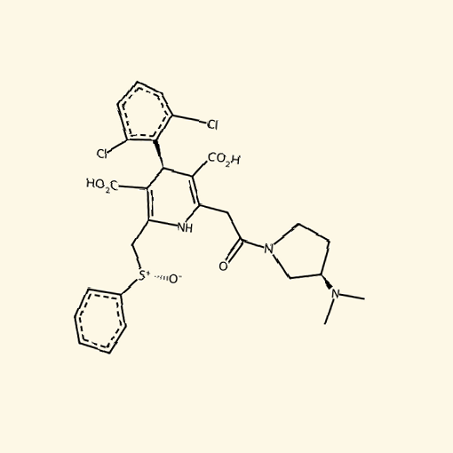 CN(C)[C@@H]1CCN(C(=O)CC2=C(C(=O)O)[C@H](c3c(Cl)cccc3Cl)C(C(=O)O)=C(C[S@+]([O-])c3ccccc3)N2)C1